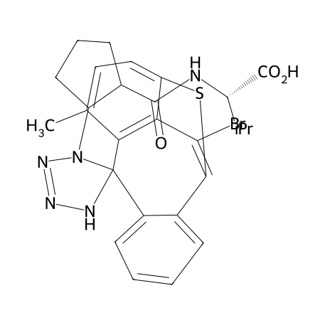 Cc1ccc2sc3c(Br)c2c1C1(NN=NN1C1CCCC1C(=O)N[C@H](C(=O)O)C(C)C)c1ccccc1-3